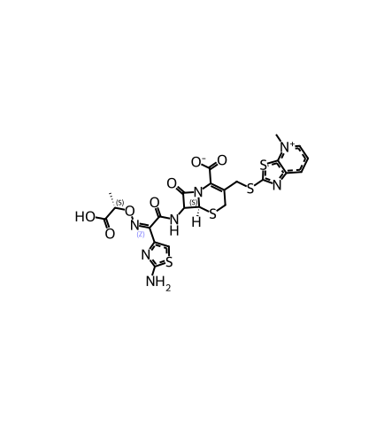 C[C@H](O/N=C(\C(=O)NC1C(=O)N2C(C(=O)[O-])=C(CSc3nc4ccc[n+](C)c4s3)CS[C@@H]12)c1csc(N)n1)C(=O)O